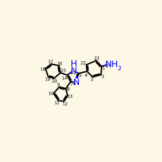 Nc1ccc(-c2nc(-c3ccccc3)c(-c3ccccc3)[nH]2)cc1